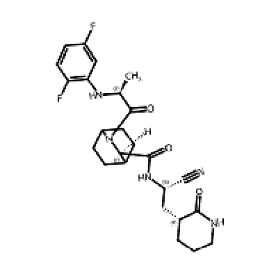 C[C@H](Nc1cc(F)ccc1F)C(=O)N1C2CCC(CC2)[C@@H]1C(=O)N[C@H](C#N)C[C@H]1CCCNC1=O